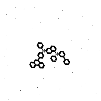 c1ccc(-c2cccc(N(c3ccccc3)c3cccc4cc(N(c5ccccc5)c5ccc(-c6cc7ccccc7c7ccccc67)cc5)ccc34)c2)cc1